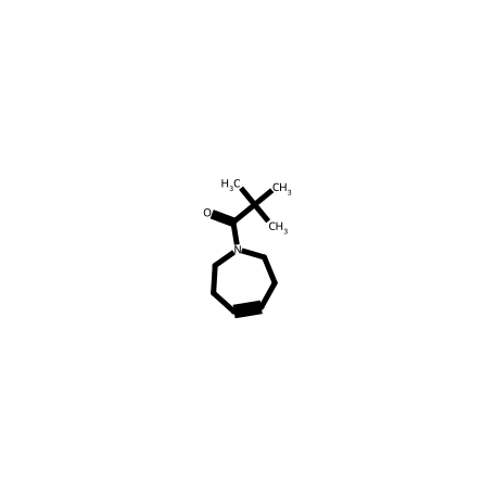 CC(C)(C)C(=O)N1CCC#CCC1